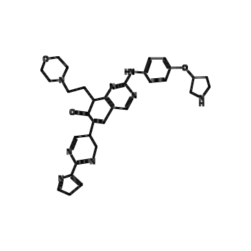 O=C1C(C2C=NC(C3=CCC=N3)=NC2)=Cc2cnc(Nc3ccc(OC4CCNC4)cc3)nc2C1CCN1CCOCC1